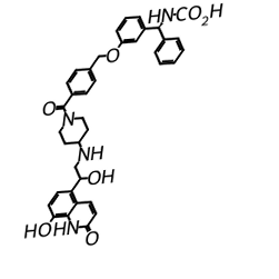 O=C(O)N[C@@H](c1ccccc1)c1cccc(OCc2ccc(C(=O)N3CCC(NCC(O)c4ccc(O)c5[nH]c(=O)ccc45)CC3)cc2)c1